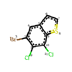 Clc1c(Br)cc2ccsc2c1Cl